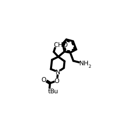 CC(C)(C)C(=O)ON1CCC(CC=O)(c2ccccc2CN)CC1